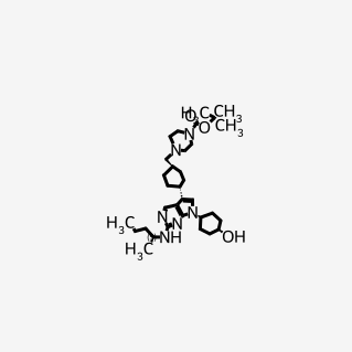 CCC[C@H](C)Nc1ncc2c(n1)n([C@H]1CC[C@H](O)CC1)cc2[C@H]1CC[C@H](CN2CCN(C(=O)OC(C)(C)C)CC2)CC1